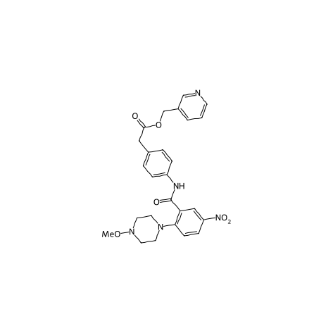 CON1CCN(c2ccc([N+](=O)[O-])cc2C(=O)Nc2ccc(CC(=O)OCc3cccnc3)cc2)CC1